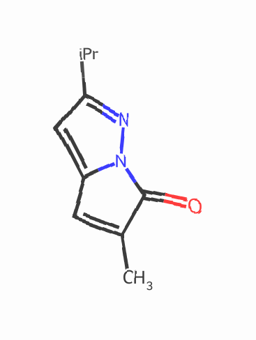 CC1=Cc2cc(C(C)C)nn2C1=O